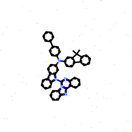 CC1(C)c2ccccc2-c2ccc(N(c3ccc(-c4ccccc4)cc3)c3ccc4c5ccccc5n(-c5nc6ccccc6c6nc7ccccc7n56)c4c3)cc21